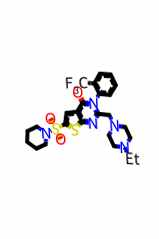 CCN1CCN(Cc2nc3sc(S(=O)(=O)N4CCCCC4)cc3c(=O)n2-c2ccccc2C(F)(F)F)CC1